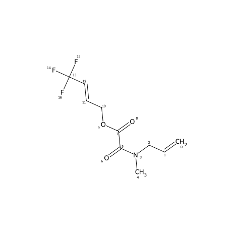 C=CCN(C)C(=O)C(=O)OC/C=C/C(F)(F)F